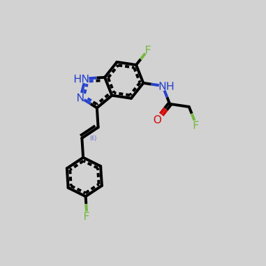 O=C(CF)Nc1cc2c(/C=C/c3ccc(F)cc3)n[nH]c2cc1F